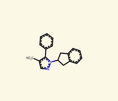 O=C(O)c1cnn(C2Cc3ccccc3C2)c1-c1ccccc1